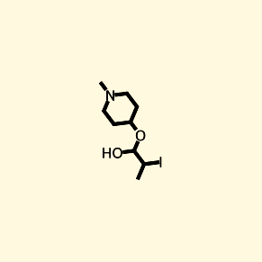 CC(I)C(O)OC1CCN(C)CC1